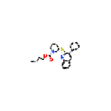 CCCCOC(=O)N1CCCC(Sc2nc3ccccc3cc2-c2ccccc2)C1